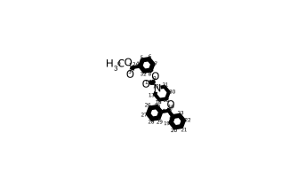 COC(=O)c1cccc(OC(=O)N2CCC(OC(c3ccccc3)c3ccccc3)CC2)c1